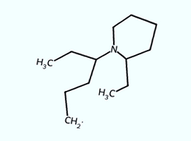 [CH2]CCC(CC)N1CCCCC1CC